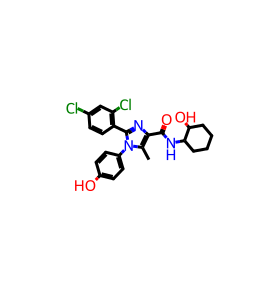 Cc1c(C(=O)NC2CCCCC2O)nc(-c2ccc(Cl)cc2Cl)n1-c1ccc(O)cc1